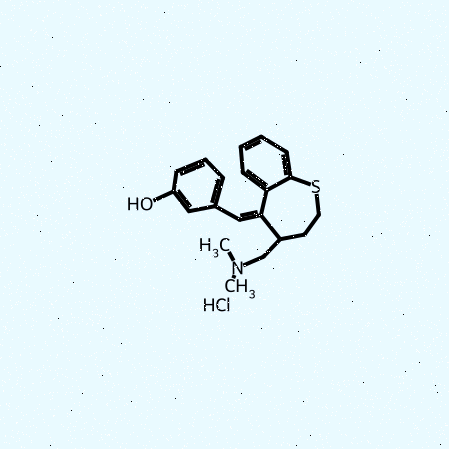 CN(C)CC1CCSc2ccccc2C1=Cc1cccc(O)c1.Cl